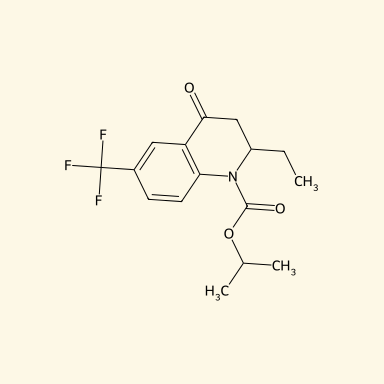 CCC1CC(=O)c2cc(C(F)(F)F)ccc2N1C(=O)OC(C)C